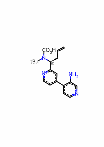 C=CC[C@@H](c1cc(-c2ccncc2N)ccn1)N(C(=O)O)C(C)(C)C